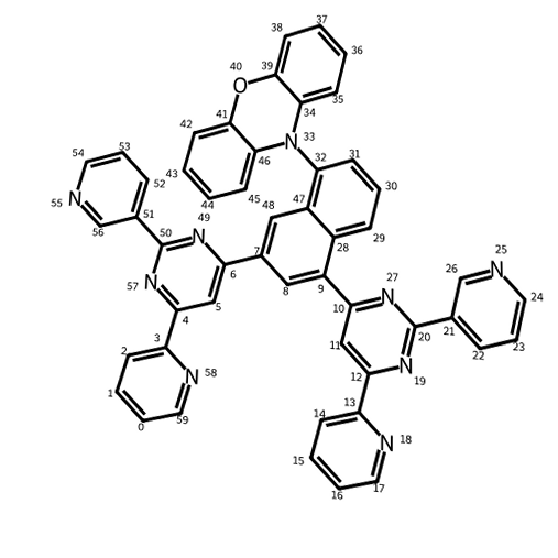 c1ccc(-c2cc(-c3cc(-c4cc(-c5ccccn5)nc(-c5cccnc5)n4)c4cccc(N5c6ccccc6Oc6ccccc65)c4c3)nc(-c3cccnc3)n2)nc1